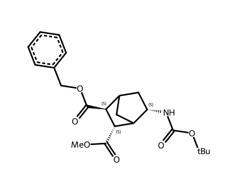 COC(=O)[C@H]1C2CC(C[C@@H]2NC(=O)OC(C)(C)C)[C@@H]1C(=O)OCc1ccccc1